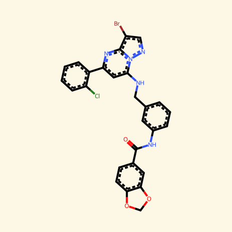 O=C(Nc1cccc(CNc2cc(-c3ccccc3Cl)nc3c(Br)cnn23)c1)c1ccc2c(c1)OCO2